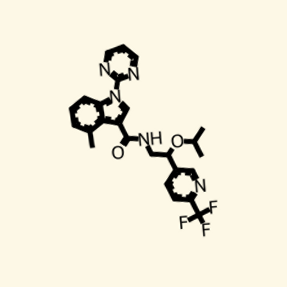 Cc1cccc2c1c(C(=O)NCC(OC(C)C)c1ccc(C(F)(F)F)nc1)cn2-c1ncccn1